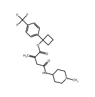 C=C(CC(=O)NC1CCN(C)CC1)C(=O)OC1(c2ccc(C(F)(F)F)cc2)CCC1